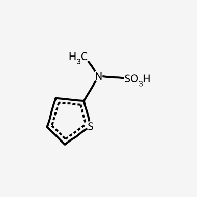 CN(c1cccs1)S(=O)(=O)O